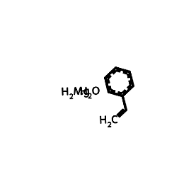 C=Cc1ccccc1.O.[MgH2]